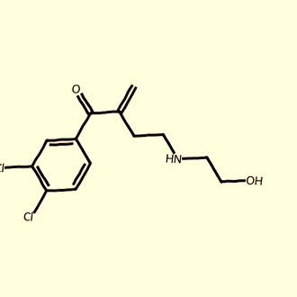 C=C(CCNCCO)C(=O)c1ccc(Cl)c(Cl)c1